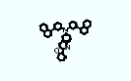 c1cc(-c2cccc3ccccc23)cc(N(c2cccc(-c3cccc4ccccc34)c2)c2ccc3nc4c(cc3c2)oc2ccccc24)c1